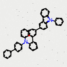 c1ccc(-c2ccc(N(c3ccccc3)c3ccccc3-c3cccc(-c4ccc5c(c4)c4ccccc4n5-c4ccccc4)c3)cc2)cc1